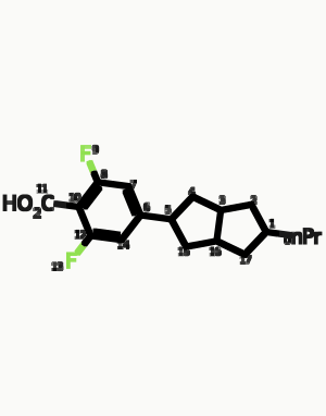 CCCC1CC2CC(c3cc(F)c(C(=O)O)c(F)c3)CC2C1